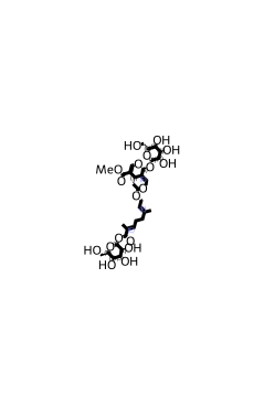 C/C=C1/[C@H](O[C@@H]2O[C@H](CO)[C@@H](O)[C@H](O)[C@H]2O)OC=C(C(=O)OC)[C@H]1CC(=O)OC/C=C(\C)CC/C=C(\C)C(=O)O[C@@H]1O[C@H](CO)[C@@H](O)[C@H](O)[C@H]1O